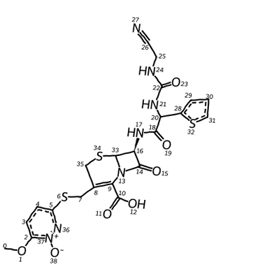 COc1ccc(SCC2=C(C(=O)O)N3C(=O)[C@H](NC(=O)C(NC(=O)NCC#N)c4cccs4)C3SC2)n[n+]1[O-]